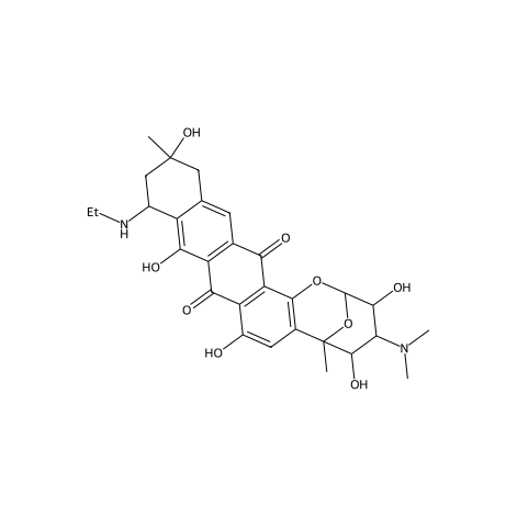 CCNC1CC(C)(O)Cc2cc3c(c(O)c21)C(=O)c1c(O)cc2c(c1C3=O)OC1OC2(C)C(O)C(N(C)C)C1O